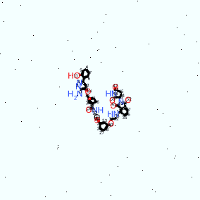 Nc1nnc(-c2ccccc2O)cc1OCC1CC2(C(=O)NCCOc3cccc(OCCNc4cccc5c4C(=O)N(C4CCC(=O)NC4=O)C5=O)c3)CC1C2